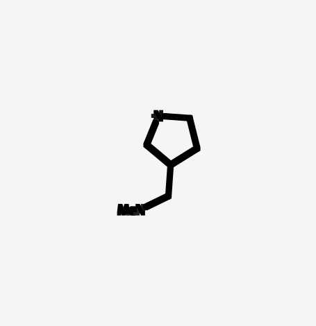 CNCC1CC[N]C1